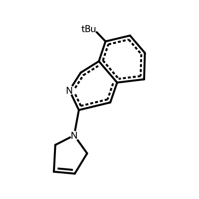 CC(C)(C)c1cccc2cc(N3CC=CC3)ncc12